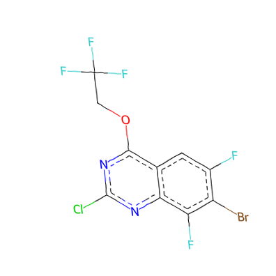 Fc1cc2c(OCC(F)(F)F)nc(Cl)nc2c(F)c1Br